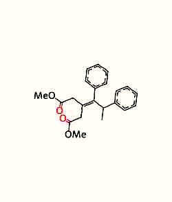 COC(=O)CC(CC(=O)OC)=C(c1ccccc1)C(C)c1ccccc1